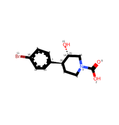 O=C(O)N1CC[C@@H](c2ccc(Br)cc2)[C@H](O)C1